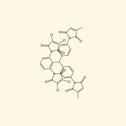 CC1=CC(=O)N(c2ccc(C(c3ccc(N4C(=O)C=C(C)C4=O)cc3)c3c(N4C(=O)C(Cl)=C(Cl)C4=O)cccc3N3C(=O)C(Cl)=C(Cl)C3=O)cc2)C1=O